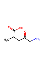 CC(CC(=O)CN)C(=O)O